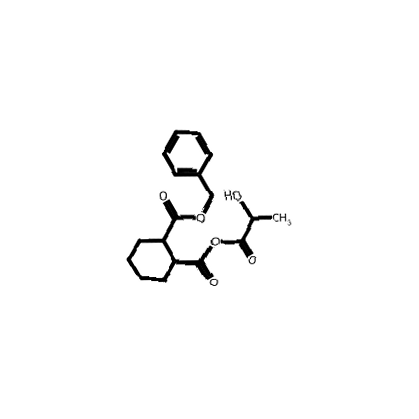 CC(O)C(=O)OC(=O)C1CCCCC1C(=O)OCc1ccccc1